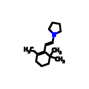 CC1=C(C=CN2CCCC2)C(C)(C)CCC1